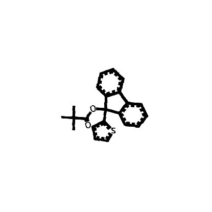 CC(C)(C)C(=O)OC1(c2cccs2)c2ccccc2-c2ccccc21